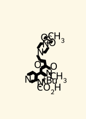 Cn1cc(-c2ccncc2N(C(=O)O)C(C)(C)C)c2oc(CN3CCN(S(C)(=O)=O)CC3)cc2c1=O